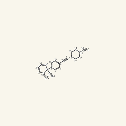 C#CC1(c2ccc(C#C[C@H]3CC[C@H](CCC)CC3)cc2)C=CC=CC1CC